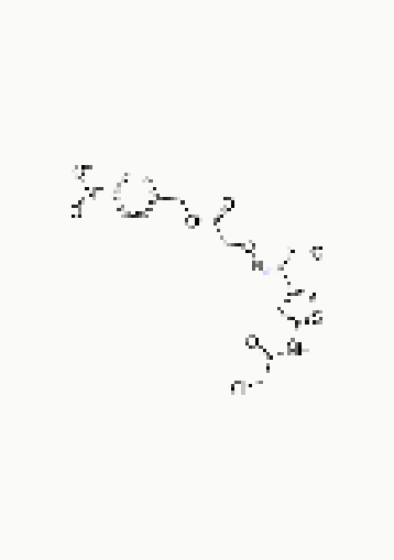 O=[C]/C(=N\OCC(=O)OCc1ccc([N+](=O)[O-])cc1)c1csc(NC(=O)CCl)n1